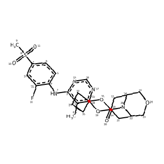 Cc1c(Nc2ccc(S(C)(=O)=O)cc2F)ncnc1OC1CC2COCC(C1)N2C(=O)OC1CCC1